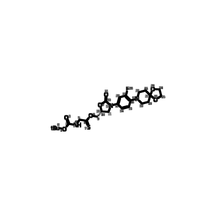 CC(C)(C)OC(=O)NCC(=S)OC[C@H]1CN(c2ccc(N3CCC4(CC3)OCCO4)c(F)c2)C(=O)O1